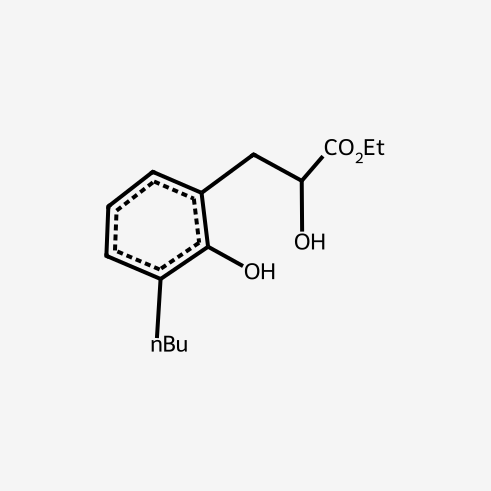 CCCCc1cccc(CC(O)C(=O)OCC)c1O